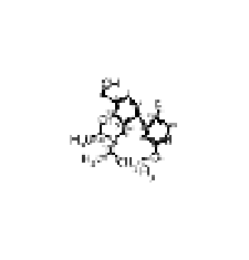 COc1cc(-c2ccc(CO)cc2CN(C(C)C)C(C)C)c(F)cn1